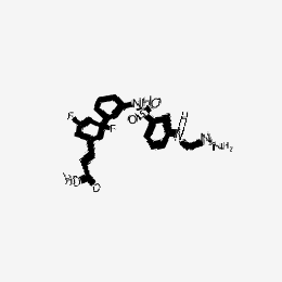 NN=CNc1cccc(S(=O)(=O)Nc2cccc(C3(F)C=C(F)C=C(CCC(=O)O)C3)c2)c1